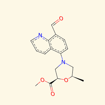 COC(=O)[C@H]1CN(c2ccc(C=O)c3ncccc23)C[C@@H](C)O1